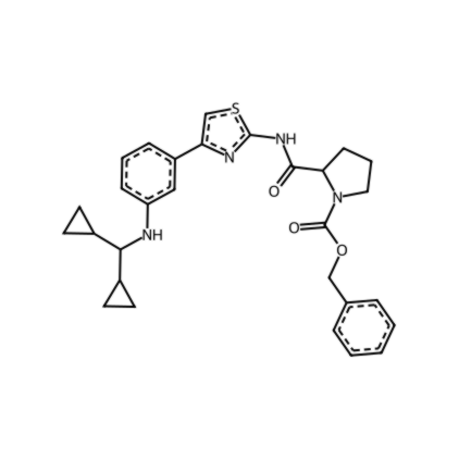 O=C(Nc1nc(-c2cccc(NC(C3CC3)C3CC3)c2)cs1)C1CCCN1C(=O)OCc1ccccc1